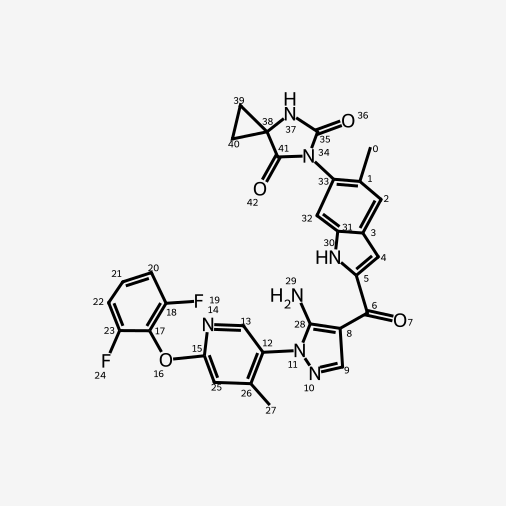 Cc1cc2cc(C(=O)c3cnn(-c4cnc(Oc5c(F)cccc5F)cc4C)c3N)[nH]c2cc1N1C(=O)NC2(CC2)C1=O